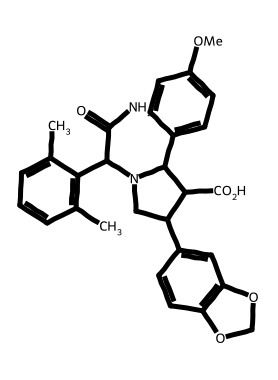 COc1ccc(C2C(C(=O)O)C(c3ccc4c(c3)OCO4)CN2C(C(N)=O)c2c(C)cccc2C)cc1